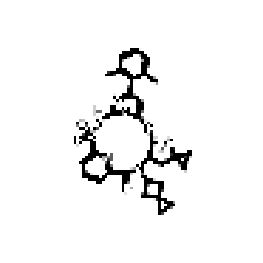 Cc1cccc(C)c1-c1cc2nc(n1)NS(=O)(=O)c1cccc(n1)C(=O)N(C1CC3(CC3)C1)C(CC1(C(F)(F)F)CC1)CO2